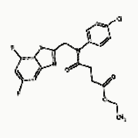 CCOC(=O)CCC(=O)N(Cc1nc2cc(F)cc(F)c2s1)c1ccc(Cl)cc1